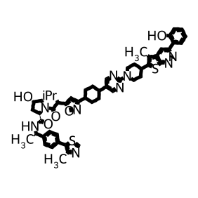 Cc1ncsc1-c1ccc([C@H](C)NC(=O)[C@@H]2C[C@@H](O)CN2C(=O)C(c2cc(C3CCC(c4cnc(N5CCC(c6sc7nnc(-c8ccccc8O)cc7c6C)CC5)nc4)CC3)no2)C(C)C)cc1